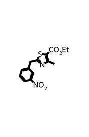 CCOC(=O)c1sc(Cc2cccc([N+](=O)[O-])c2)nc1C